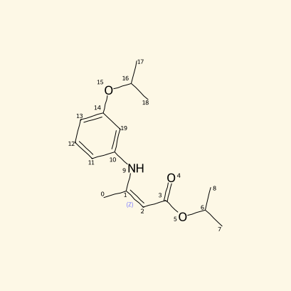 C/C(=C/C(=O)OC(C)C)Nc1cccc(OC(C)C)c1